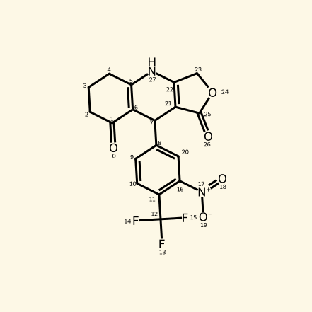 O=C1CCCC2=C1C(c1ccc(C(F)(F)F)c([N+](=O)[O-])c1)C1=C(COC1=O)N2